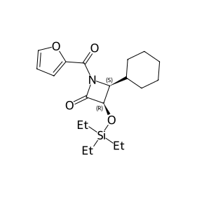 CC[Si](CC)(CC)O[C@H]1C(=O)N(C(=O)c2ccco2)[C@H]1C1CCCCC1